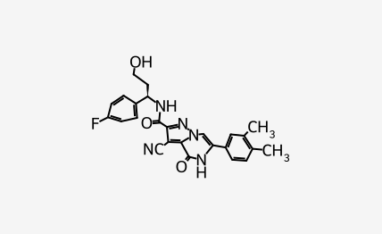 Cc1ccc(-c2cn3nc(C(=O)N[C@H](CCO)c4ccc(F)cc4)c(C#N)c3c(=O)[nH]2)cc1C